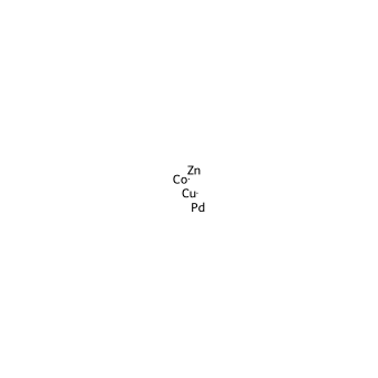 [Co].[Cu].[Pd].[Zn]